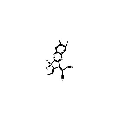 C/C=C1/C(=C(C#N)C#N)c2nc3cc(F)c(F)cc3nc2S1(=O)=O